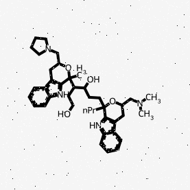 CCCC1(CCC(O)C(CCO)C2(C)OC(CN3CCCC3)Cc3c2[nH]c2ccccc32)OC(CN(C)C)Cc2c1[nH]c1ccccc21